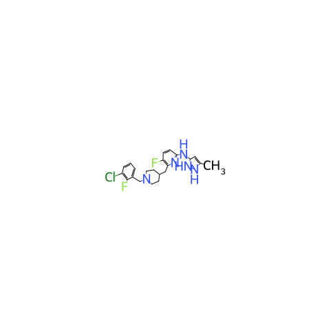 CC1=CC(Nc2ccc(F)c(CC3CCN(Cc4cccc(Cl)c4F)CC3)n2)NN1